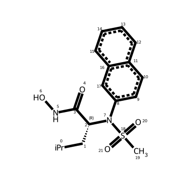 CC(C)C[C@H](C(=O)NO)N(c1ccc2ccccc2c1)S(C)(=O)=O